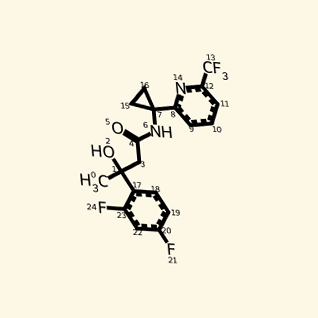 CC(O)(CC(=O)NC1(c2cccc(C(F)(F)F)n2)CC1)c1ccc(F)cc1F